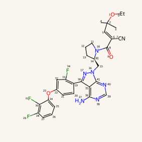 CCOC(C)(C)C=C(C#N)C(=O)N1CCC[C@@H]1Cn1nc(-c2ccc(Oc3cccc(F)c3F)cc2F)c2c(N)ncnc21